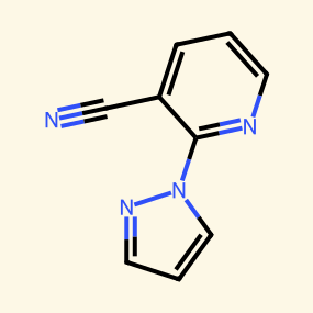 N#Cc1cccnc1-n1cccn1